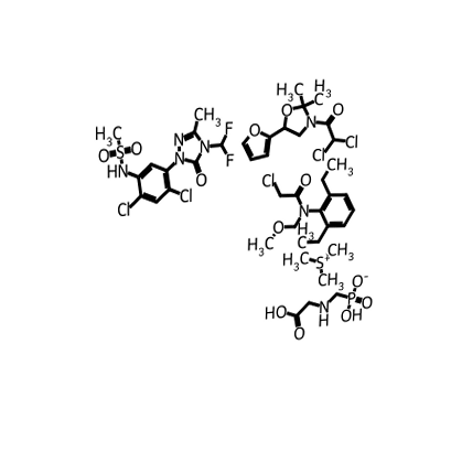 CC1(C)OC(c2ccco2)CN1C(=O)C(Cl)Cl.CCc1cccc(CC)c1N(COC)C(=O)CCl.C[S+](C)C.Cc1nn(-c2cc(NS(C)(=O)=O)c(Cl)cc2Cl)c(=O)n1C(F)F.O=C(O)CNCP(=O)([O-])O